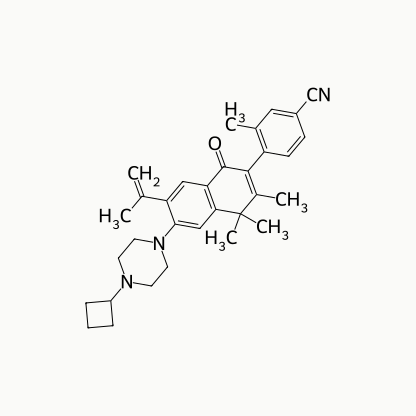 C=C(C)c1cc2c(cc1N1CCN(C3CCC3)CC1)C(C)(C)C(C)=C(c1ccc(C#N)cc1C)C2=O